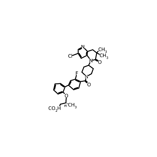 C[C@H](CC(=O)O)Oc1ccccc1-c1ccc(C(=O)N2CCC(N3C(=O)C(C)(C)Cc4ncc(Cl)cc43)CC2)c(F)c1